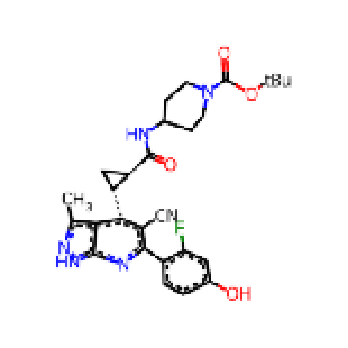 Cc1n[nH]c2nc(-c3ccc(O)cc3F)c(C#N)c([C@@H]3C[C@H]3C(=O)NC3CCN(C(=O)OC(C)(C)C)CC3)c12